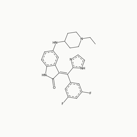 CCN1CCC(Nc2ccc3c(c2)C(=C(c2cc(F)cc(F)c2)c2ncc[nH]2)C(=O)N3)CC1